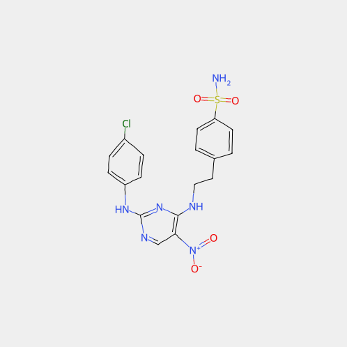 NS(=O)(=O)c1ccc(CCNc2nc(Nc3ccc(Cl)cc3)ncc2[N+](=O)[O-])cc1